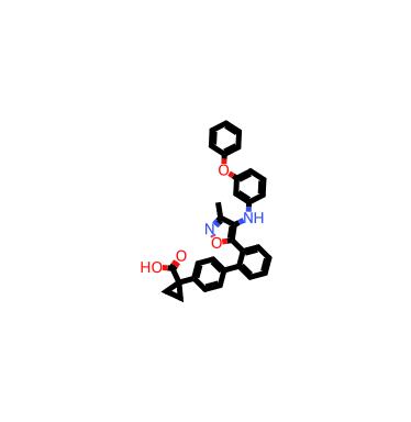 Cc1noc(-c2ccccc2-c2ccc(C3(C(=O)O)CC3)cc2)c1Nc1cccc(Oc2ccccc2)c1